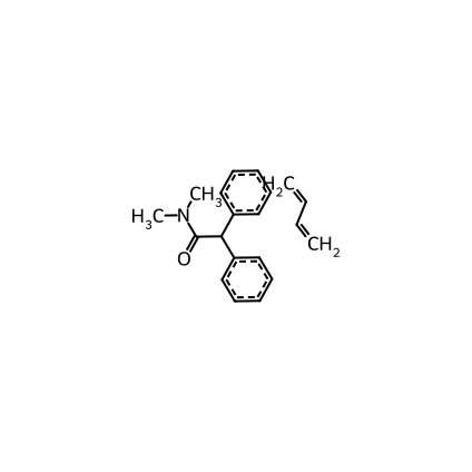 C=CC=C.CN(C)C(=O)C(c1ccccc1)c1ccccc1